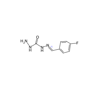 NNC(=O)N/N=C/c1ccc(F)cc1